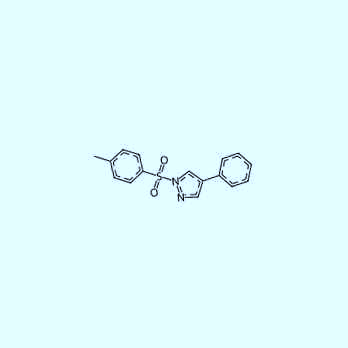 Cc1ccc(S(=O)(=O)n2cc(-c3ccccc3)cn2)cc1